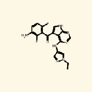 CCn1cc(Nc2ncnc3[nH]cc(C(=O)c4c(F)ccc(N)c4F)c23)cn1